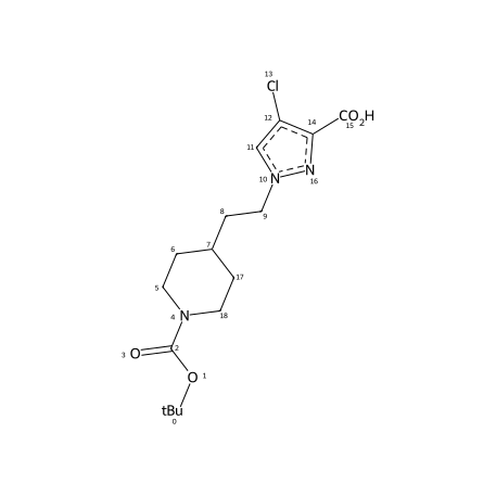 CC(C)(C)OC(=O)N1CCC(CCn2cc(Cl)c(C(=O)O)n2)CC1